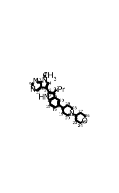 CC(C)c1c(-c2cn(C)c3ncncc23)[nH]c2ccc(C3CCN(C4CCOCC4)CC3)cc12